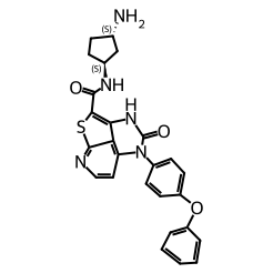 N[C@H]1CC[C@H](NC(=O)c2sc3nccc4c3c2NC(=O)N4c2ccc(Oc3ccccc3)cc2)C1